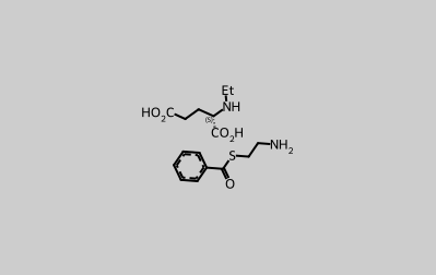 CCN[C@@H](CCC(=O)O)C(=O)O.NCCSC(=O)c1ccccc1